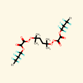 CCC(F)(F)C(F)(F)C(F)(F)OC(=O)C(=O)OOC(C)(C)CCC(C)(C)OOC(=O)C(=O)OC(F)(F)C(F)(F)C(F)(F)CC